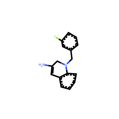 NC1=Cc2ccccc2N(Cc2cccc(F)c2)C1